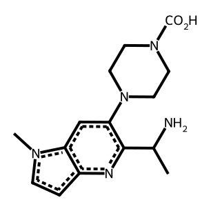 CC(N)c1nc2ccn(C)c2cc1N1CCN(C(=O)O)CC1